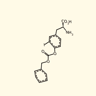 N[C@@H](Cc1ccc(OC(=O)OCc2ccccc2)c(I)c1)C(=O)O